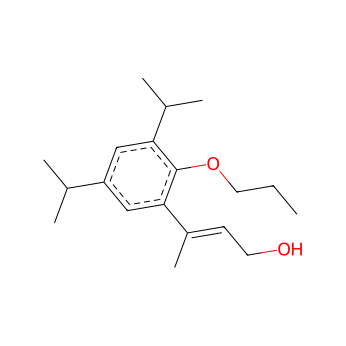 CCCOc1c(C(C)=CCO)cc(C(C)C)cc1C(C)C